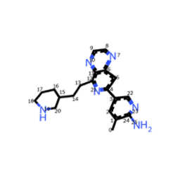 Cc1cc(-c2cc3nccnc3c(CCC3CCCNC3)n2)cnc1N